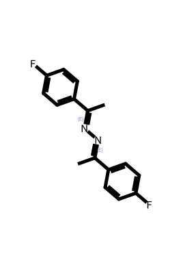 C/C(=N\N=C(/C)c1ccc(F)cc1)c1ccc(F)cc1